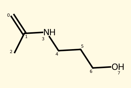 C=C(C)NCCCO